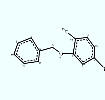 Fc1[c]c(OCc2ccccc2)c(F)cc1